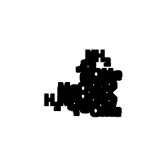 COc1cc(C2(c3cc(OC)c(Oc4ccc(N)cc4C)c(OC)c3)c3ccccc3-c3ccccc32)cc(OC)c1Oc1ccc(N)cc1C